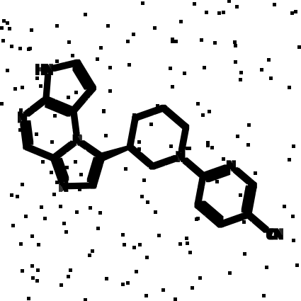 N#Cc1ccc(N2CCC[C@H](c3cnc4cnc5[nH]ccc5n34)C2)nc1